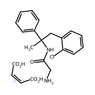 CC(Cc1ccccc1Cl)(NC(=O)CN)c1ccccc1.O=C(O)/C=C\C(=O)O